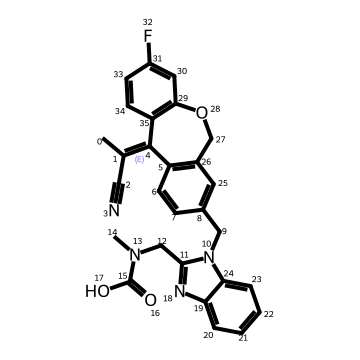 C/C(C#N)=C1/c2ccc(Cn3c(CN(C)C(=O)O)nc4ccccc43)cc2COc2cc(F)ccc21